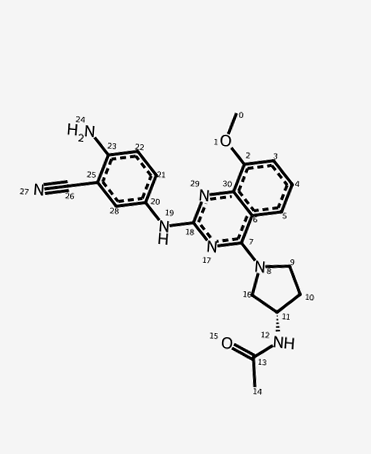 COc1cccc2c(N3CC[C@H](NC(C)=O)C3)nc(Nc3ccc(N)c(C#N)c3)nc12